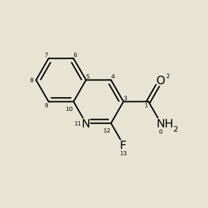 NC(=O)c1cc2ccccc2nc1F